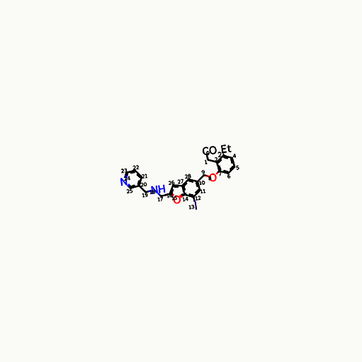 CCOC(=O)Cc1ccccc1OCc1cc(I)c2oc(CNCc3cccnc3)cc2c1